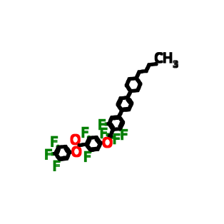 CCCCCC1CCC(c2ccc(-c3cc(F)c(C(F)(F)Oc4cc(F)c(C(=O)Oc5cc(F)c(F)c(F)c5)c(F)c4)c(F)c3)cc2)CC1